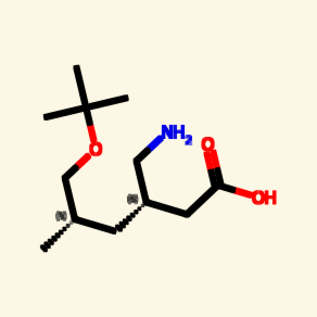 C[C@H](COC(C)(C)C)C[C@H](CN)CC(=O)O